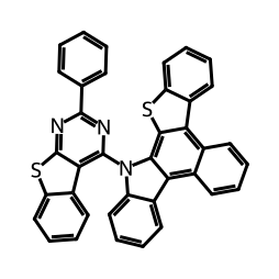 c1ccc(-c2nc(-n3c4ccccc4c4c5ccccc5c5c6ccccc6sc5c43)c3c(n2)sc2ccccc23)cc1